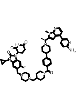 C[C@@H](c1cc2c(-c3ccc(N)nc3)ccnc2n1C)N1CCC(c2ccc(C(=O)N3CCC(CN4CCN(Cc5cc6c(cc5F)n(C5CCC(=O)NC5=O)c(=O)n6C5CC5)CC4)CC3)cc2)CC1